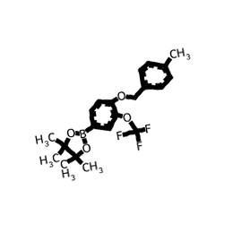 Cc1ccc(COc2ccc(B3OC(C)(C)C(C)(C)O3)cc2OC(F)(F)F)cc1